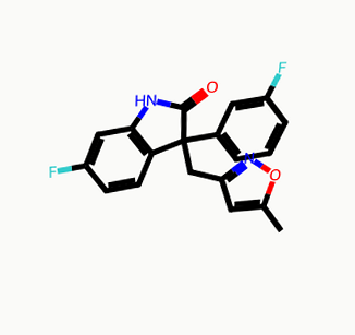 Cc1cc(CC2(c3cccc(F)c3)C(=O)Nc3cc(F)ccc32)no1